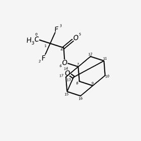 CC(F)(F)C(=O)OC12CC3CC(C1)C(=O)C(C3)C2